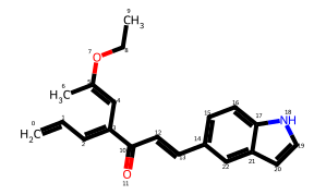 C=C/C=C(\C=C(/C)OCC)C(=O)/C=C/c1ccc2[nH]ccc2c1